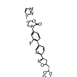 CCOC(CC1CC(c2ccc(-c3ccc(N4C[C@H](Cn5ccnn5)OC4=O)cc3F)cn2)=NO1)OCC